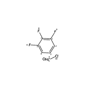 Fc1cccc(F)c1F.O=CCl